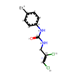 CCc1ccc(NC(=O)NC/C(Cl)=C/Cl)cc1